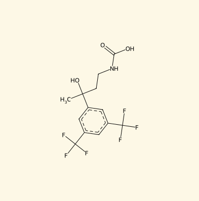 CC(O)(CCNC(=O)O)c1cc(C(F)(F)F)cc(C(F)(F)F)c1